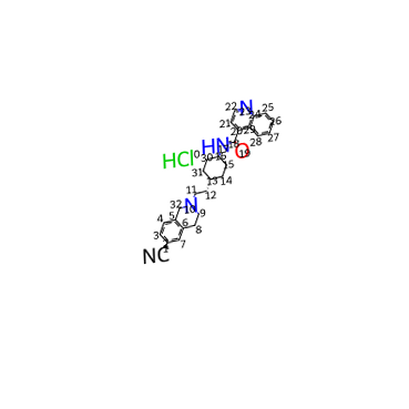 Cl.N#Cc1ccc2c(c1)CCN(CC[C@H]1CC[C@H](NC(=O)c3ccnc4ccccc34)CC1)C2